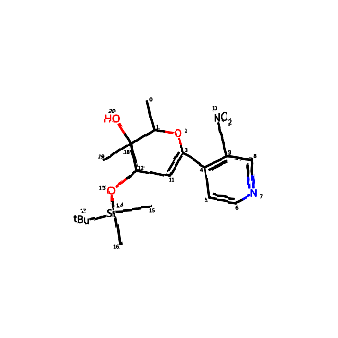 CC1OC(c2ccncc2[N+](=O)[O-])=CC(O[Si](C)(C)C(C)(C)C)C1(C)O